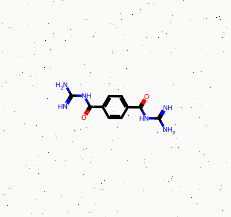 N=C(N)NC(=O)c1ccc(C(=O)NC(=N)N)cc1